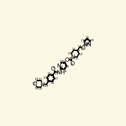 O=C(Nc1ccc(OC(=O)N2CCC(COn3cccn3)CC2)cn1)c1ccc(CN2CCOCC2)cc1